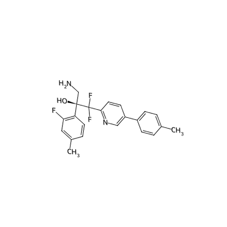 Cc1ccc(-c2ccc(C(F)(F)[C@@](O)(CN)c3ccc(C)cc3F)nc2)cc1